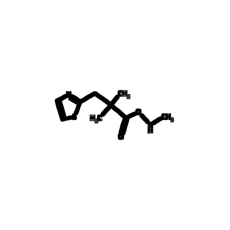 CNOC(=O)C(C)(C)Cc1nccs1